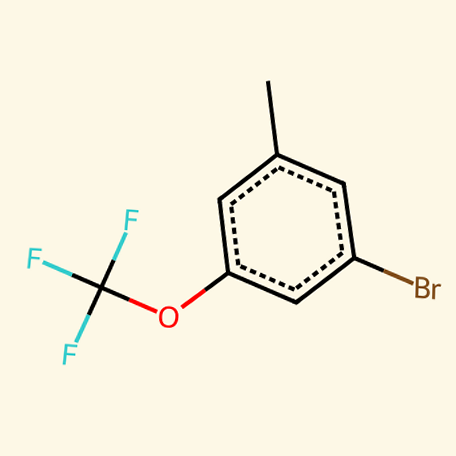 Cc1cc(Br)cc(OC(F)(F)F)c1